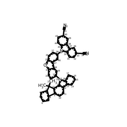 CC1(C)c2ccccc2-c2ccc3c4ccccc4n(-c4ccc5oc6ccc(-n7c8ccc(C#N)cc8c8cc(C#N)ccc87)cc6c5c4)c3c21